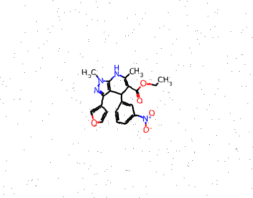 CCOC(=O)C1=C(C)Nc2c(c(-c3ccoc3)nn2C)C1c1cccc([N+](=O)[O-])c1